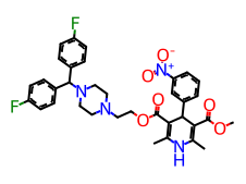 COC(=O)C1=C(C)NC(C)=C(C(=O)OCCN2CCN(C(c3ccc(F)cc3)c3ccc(F)cc3)CC2)C1c1cccc([N+](=O)[O-])c1